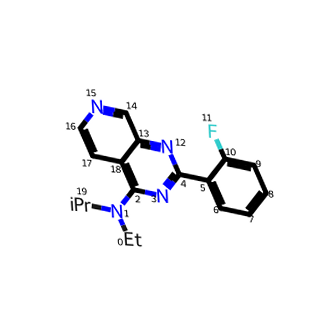 CCN(c1nc(-c2ccccc2F)nc2cnccc12)C(C)C